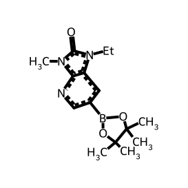 CCn1c(=O)n(C)c2ncc(B3OC(C)(C)C(C)(C)O3)cc21